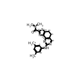 Cc1cc(C)cc(Nc2ncc3c(n2)-c2nc(C(=O)N(C)C)sc2CC3)c1